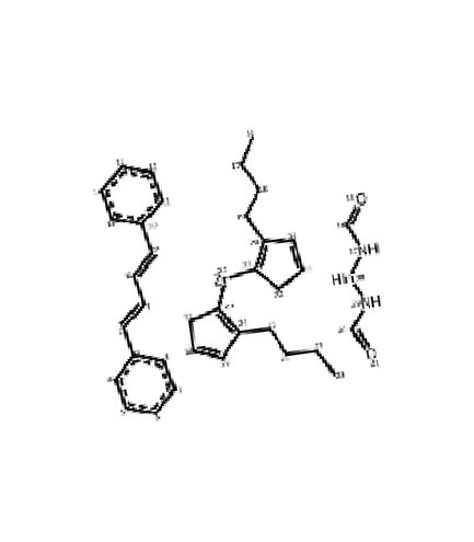 C(C=Cc1ccccc1)=Cc1ccccc1.CCCCC1=[C]([Zr][C]2=C(CCCC)C=CC2)CC=C1.O=C[NH][InH][NH]C=O